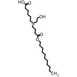 CCCCCCCCCCCOC(=O)CCCN(CCO)CCCCCC(=O)O